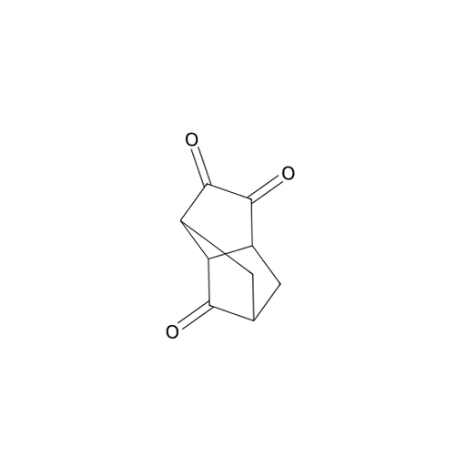 O=C1C(=O)C2CC3CC1C2C3=O